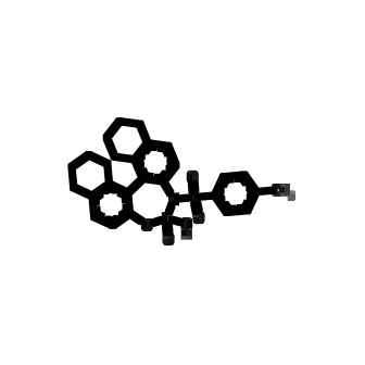 Cc1ccc(S(=O)(=O)N2c3ccc4c(c3-c3c(ccc5c3CCCC5)OP2(=O)O)CCCC4)cc1